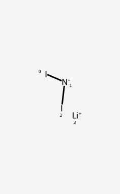 I[N-]I.[Li+]